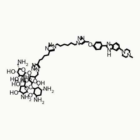 CN1CCN(c2ccc3nc(-c4ccc(OCc5cn(CCCCCCn6cc(CCCCc7cn(CC8OC(OC9[C@H](O[C@H]%10OC(CN)[C@@H](O)[C@H](O)C%10N)C(N)C[C@@H](N)[C@H]9O)[C@@H](O)[C@H]8O[C@H]8O[C@@H](CN)[C@@H](O)C(O)C8N)nn7)nn6)nn5)cc4)[nH]c3c2)CC1